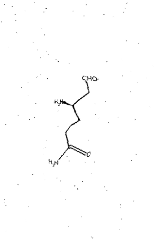 NC(=O)CC[C@@H](N)C[C]=O